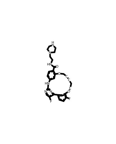 O=C(NCCN1CCNCC1)c1ccc2cc1OCCCCCOc1cc(ccc1F)-c1nc(ncc1F)N2